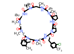 CC[C@H](C)[C@@H]1NC(=O)[C@H](CC(C)C)N(C)C(=O)C[C@@H](C)NC(=O)[C@H](C(C)C)N(C)C(=O)C2(CCCC2)NC(=O)[C@@H]2CCCN2C(=O)[C@H](CCc2ccc(C(F)(F)F)c(Cl)c2)NC(=O)CN(C)C(=O)[C@H](Cc2ccccc2C)N(C)C(=O)CN(C)C(=O)CN(C)C1=O